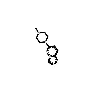 CN1CCN(c2ccc3nncn3n2)CC1